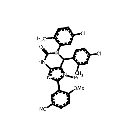 COc1ccc(C#N)cc1-c1nc2c(n1C(C)C)C(c1ccc(Cl)cc1C)N(c1cc(Cl)ccc1C)C(=O)N2